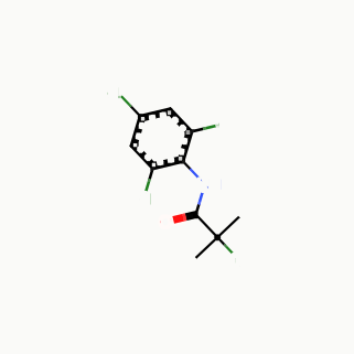 CC(C)(Cl)C(=O)Nc1c(Cl)cc(Cl)cc1Cl